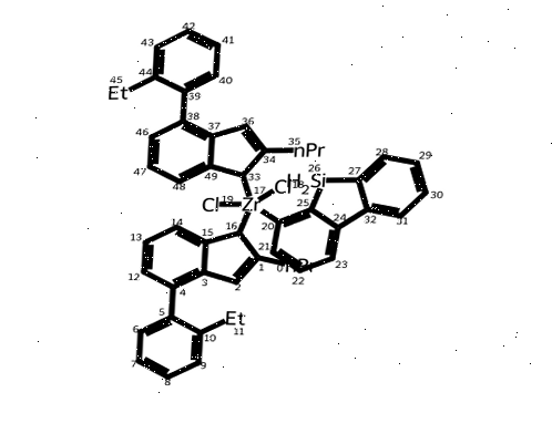 CCCC1=Cc2c(-c3ccccc3CC)cccc2[CH]1[Zr]([Cl])([Cl])([c]1cccc2c1[SiH2]c1ccccc1-2)[CH]1C(CCC)=Cc2c(-c3ccccc3CC)cccc21